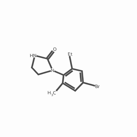 CCc1cc(Br)cc(C)c1N1CCNC1=O